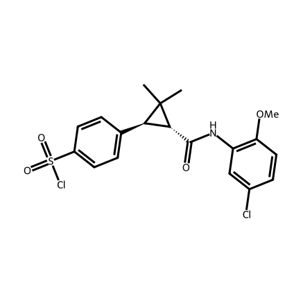 COc1ccc(Cl)cc1NC(=O)[C@@H]1[C@@H](c2ccc(S(=O)(=O)Cl)cc2)C1(C)C